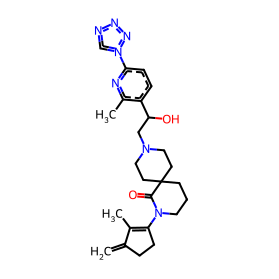 C=C1CCC(N2CCCC3(CCN(CC(O)c4ccc(-n5cnnn5)nc4C)CC3)C2=O)=C1C